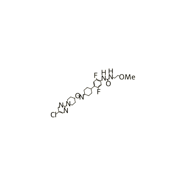 COCCNC(=O)Nc1cc(F)c(C2CCC(=NOC3CCN(c4ncc(Cl)cn4)CC3)CC2)cc1F